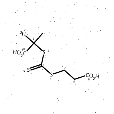 [2H]C(C)(SC(=S)SCCC(=O)O)C(=O)O